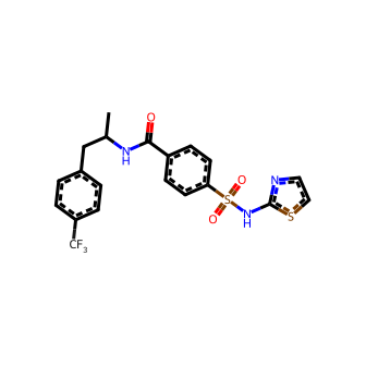 CC(Cc1ccc(C(F)(F)F)cc1)NC(=O)c1ccc(S(=O)(=O)Nc2nccs2)cc1